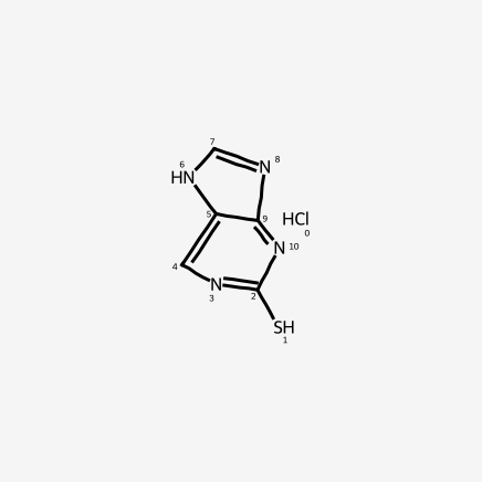 Cl.Sc1ncc2[nH]cnc2n1